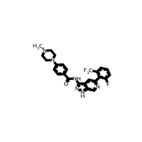 CN1CCN(c2ccc(C(=O)Nc3n[nH]c4cnc(-c5c(F)cccc5C(F)(F)F)cc34)cc2)CC1